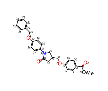 COC(=O)c1ccc(OCC2CC(=O)N(c3ccc(OCc4ccccc4)cc3)C2)cc1